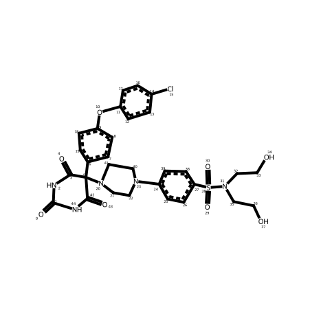 O=C1NC(=O)C(c2ccc(Oc3ccc(Cl)cc3)cc2)(N2CCN(c3ccc(S(=O)(=O)N(CCO)CCO)cc3)CC2)C(=O)N1